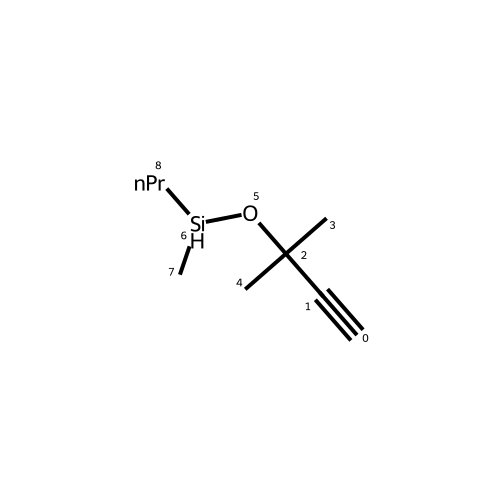 C#CC(C)(C)O[SiH](C)CCC